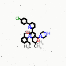 CCc1cccc(CC)c1-n1c(CC(C)C)c(C(=O)N2CCNCC2)cc(-c2cccc(-c3ccc(Cl)cc3)n2)c1=O